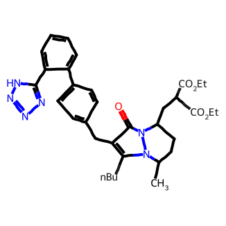 CCCCc1c(Cc2ccc(-c3ccccc3-c3nnn[nH]3)cc2)c(=O)n2n1C(C)CCC2CC(C(=O)OCC)C(=O)OCC